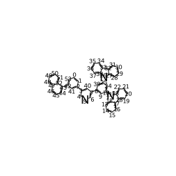 c1cc(-c2cncc(-c3cc(-n4c5ccccc5c5ccccc54)cc(-n4c5ccccc5c5ccccc54)c3)c2)cc(-c2cccc3ccccc23)c1